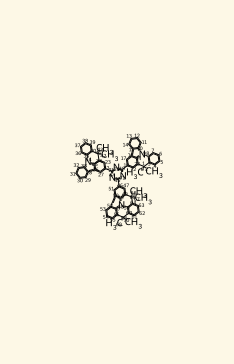 CC1(C)c2ccccc2-n2c3ccccc3c3cc(-c4nc(-c5cc6c7c(c5)c5ccccc5n7-c5ccccc5C6(C)C)nc(-c5cc6c7c(c5)c5cccc8c5n7-c5c(cccc5C6(C)C)C8(C)C)n4)cc1c32